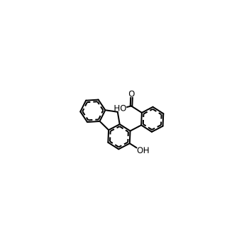 O=C(O)c1ccccc1-c1c(O)ccc2c1Cc1ccccc1-2